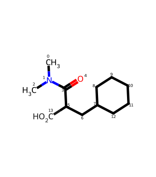 CN(C)C(=O)C(CC1CCCCC1)C(=O)O